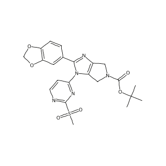 CC(C)(C)OC(=O)N1Cc2nc(-c3ccc4c(c3)OCO4)n(-c3ccnc(S(C)(=O)=O)n3)c2C1